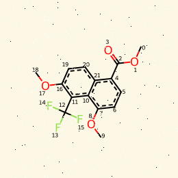 COC(=O)c1ccc(OC)c2c(C(F)(F)F)c(OC)ccc12